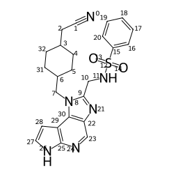 N#CCC1CCC(Cn2c(CNS(=O)(=O)c3ccccc3)nc3cnc4[nH]ccc4c32)CC1